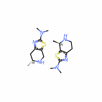 C[C@@H]1Cc2nc(N(C)C)sc2CN1.C[C@H]1NCCc2nc(N(C)C)sc21